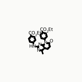 CCOC(=O)c1ccc(Nc2nc(C)c3ccc(=O)n(-c4ccc(C(=O)OCC)cc4)c3n2)cc1